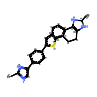 CC(C)c1ncc(-c2ccc(-c3cc4ccc5c(c4s3)CCC3=C5NC(C(C)C)N3)cc2)[nH]1